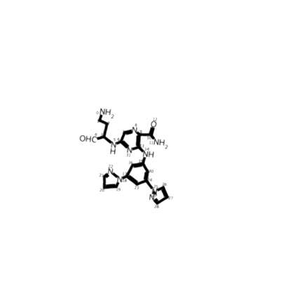 NCCC(C=O)Nc1cnc(C(N)=O)c(Nc2cc(-n3cccn3)cc(-n3cccn3)c2)n1